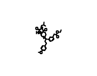 CCOC(=O)Cc1cccc(C(CCc2ccc(OC)cc2)N2CCC3(CC2)NC(=O)N(CC(C)C)C3=O)c1